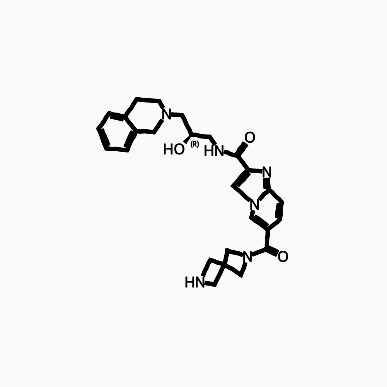 O=C(NC[C@@H](O)CN1CCc2ccccc2C1)c1cn2cc(C(=O)N3CC4(CNC4)C3)ccc2n1